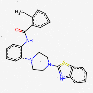 Cc1ccccc1C(=O)Nc1ccccc1N1CCN(c2nc3ccccc3s2)CC1